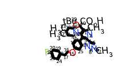 Cc1nc(-c2cn(C)cn2)c(-c2ccc(OCCc3ccc(F)cc3)cc2)c(N2CCC(C)(C)CC2)c1C(OC(C)(C)C)C(=O)O